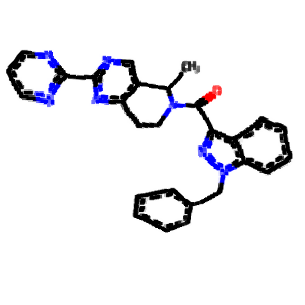 CC1c2cnc(-c3ncccn3)nc2CCN1C(=O)c1nn(Cc2ccccc2)c2ccccc12